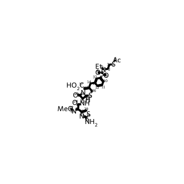 CCN(CCSC(C)=O)S(=O)(=O)c1cccc(CC2=C(C(=O)O)N3C(=O)[C@@H](NC(=O)/C(=N\OC)c4csc(N)n4)[C@H]3SC2)c1